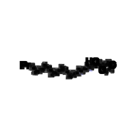 CC1=C(C)C(=O)C(CCC(C)(O)CC/C=C(\C)CC/C=C(\C)CCCC(C)CCCC(C)CCCC(C)CCCC(C)CCCC(C)CCCC(C)C)=C(C)C1=O